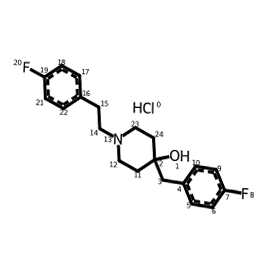 Cl.OC1(Cc2ccc(F)cc2)CCN(CCc2ccc(F)cc2)CC1